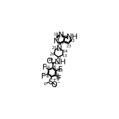 C[S+]([O-])c1c(F)c(F)c(C(=O)NC2CCN(c3ncnc4[nH]ccc34)CC2)c(F)c1F